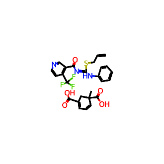 C=CCSC(=NC(=O)c1cnccc1C(F)(F)F)Nc1ccccc1.CC1(C(=O)O)C=CC=C(C(=O)O)C1